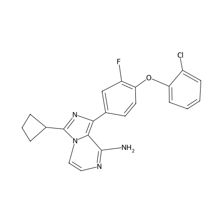 Nc1nccn2c(C3CCC3)nc(-c3ccc(Oc4ccccc4Cl)c(F)c3)c12